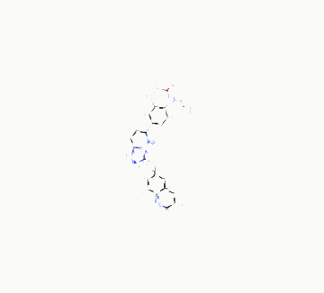 CCN1C(=O)CCc2cc(-c3ccc4nnc(Cc5ccc6ncccc6c5)n4n3)ccc21